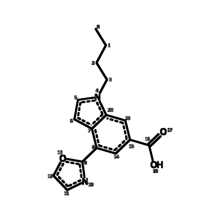 CCCCn1ccc2c(-c3ncco3)cc(C(=O)O)cc21